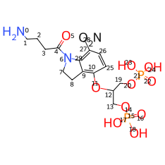 NCCCC(=O)N1CCc2c(OC(COP(=O)(O)O)COP(=O)(O)O)ccc([N+](=O)[O-])c21